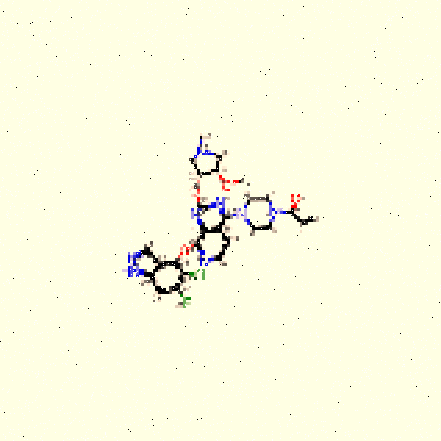 C=CC(=O)N1CCN(c2nc(O[C@@H]3CN(C)C[C@H]3OC)nc3c(Oc4c(Cl)c(F)cc5[nH]ncc45)nccc23)CC1